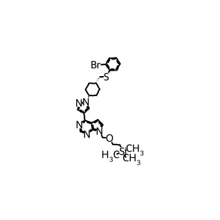 C[Si](C)(C)CCOCn1ccc2c(-c3cnn([C@H]4CC[C@@H](CSc5ccccc5Br)CC4)c3)ncnc21